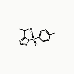 Cc1ccc(S(=O)(=O)n2ccnc2C(C)O)cc1